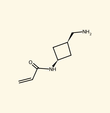 C=CC(=O)N[C@H]1C[C@@H](CN)C1